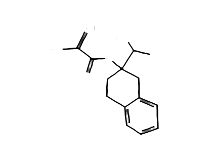 C=C(C)C(=O)OC1(C(C)C)CCc2ccccc2C1